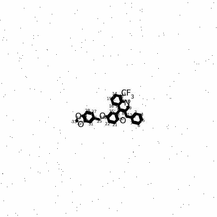 O=C(c1ccccc1)c1cnc2c(C(F)(F)F)cccc2c1-c1cccc(OCc2ccc3c(c2)OCO3)c1